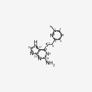 Cc1cccc(CSc2nc(N)nc3nc[nH]c23)n1